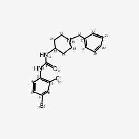 O=C(Nc1ccc(Br)cc1Cl)NC1CCN(Cc2ccccc2)CC1